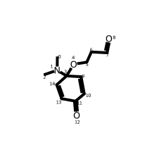 CN(C)C1(OCCC=O)C=CC(=O)C=C1